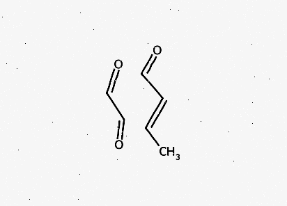 CC=CC=O.O=CC=O